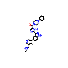 CCNCc1cncc(-c2ccc3[nH]nc(-c4ncc(C(=O)N5CCN(c6ccccc6)CC5)[nH]4)c3c2)c1C